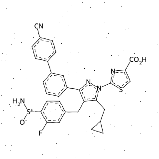 N#Cc1ccc(-c2cccc(-c3nn(-c4nc(C(=O)O)cs4)c(CC4CC4)c3Cc3ccc([S+](N)[O-])c(F)c3)c2)cc1